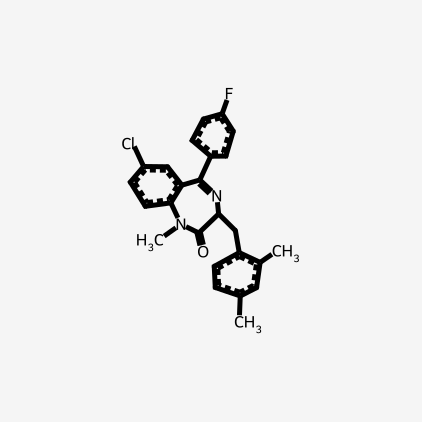 Cc1ccc(CC2N=C(c3ccc(F)cc3)c3cc(Cl)ccc3N(C)C2=O)c(C)c1